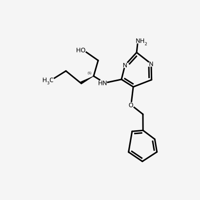 CCC[C@@H](CO)Nc1nc(N)ncc1OCc1ccccc1